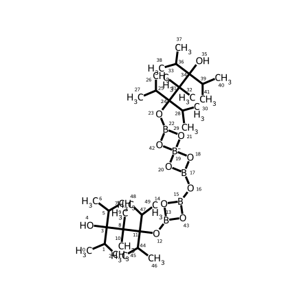 CC(C)C(O)(C(C)C)C(C)(C)C(OB1OB(OB2O[B-]3(O2)OB(OC(C(C)C)(C(C)C)C(C)(C)C(O)(C(C)C)C(C)C)O3)O1)(C(C)C)C(C)C